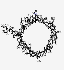 C/C=C/C[C@@H](C)[C@@H](O)[C@@H]1C(=O)N[C@H](CC)C(=O)N(C)[C@H](CS(=O)(=O)CCCN(CC)CC)C(=O)N(C)[C@@H](CC(C)C)C(=O)N[C@H](C(C)C)C(=O)N(C)[C@H](CC(C)C)C(=O)N[C@H](C)C(=O)N[C@@H](C)C(=O)N(C)[C@H](CC(C)C)C(=O)N(C)[C@H](CC(C)C)C(=O)N(C)[C@H](C(C)C)C(=O)N1C